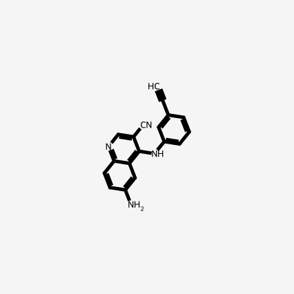 C#Cc1cccc(Nc2c(C#N)cnc3ccc(N)cc23)c1